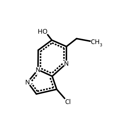 CCc1nc2c(Cl)cnn2cc1O